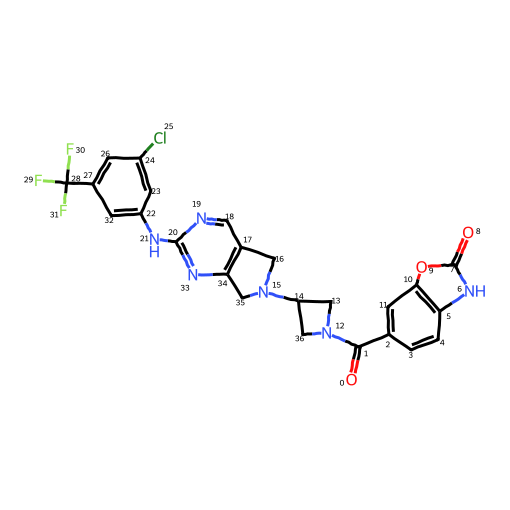 O=C(c1ccc2[nH]c(=O)oc2c1)N1CC(N2Cc3cnc(Nc4cc(Cl)cc(C(F)(F)F)c4)nc3C2)C1